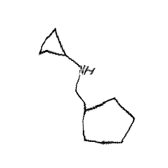 C1CCC(CNC2CC2)CC1